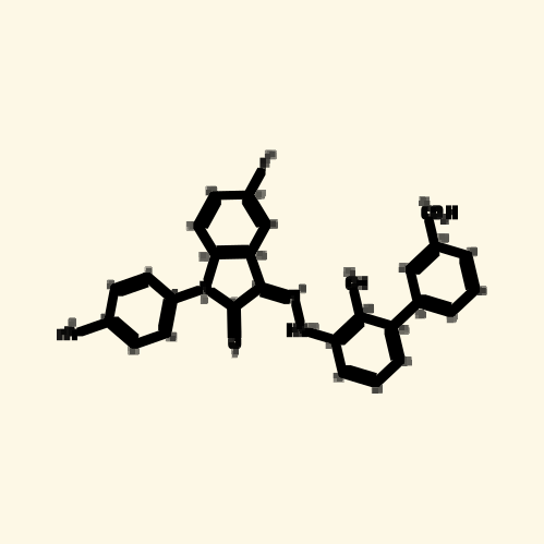 CCCc1ccc(N2C(=O)/C(=N\Nc3cccc(-c4cccc(C(=O)O)c4)c3O)c3cc(F)ccc32)cc1